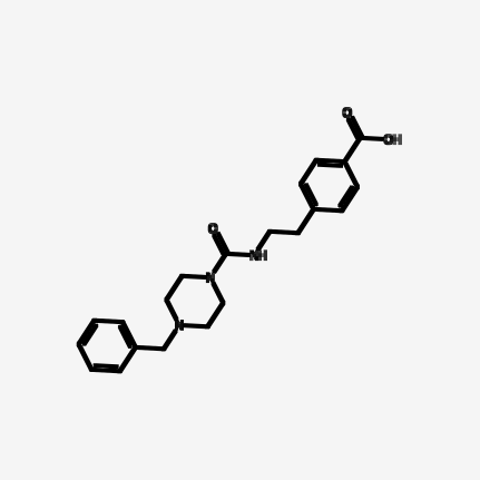 O=C(O)c1ccc(CCNC(=O)N2CCN(Cc3ccccc3)CC2)cc1